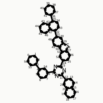 c1ccc(-c2cccc(-c3nc(-c4ccc5ccccc5c4)nc(-c4ccc5sc6cc(-c7ccc(-c8ccccc8)c8ccccc78)ccc6c5c4)n3)c2)cc1